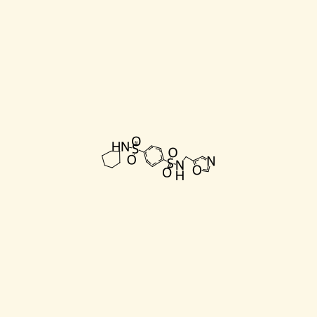 O=S(=O)(NCc1cnco1)c1ccc(S(=O)(=O)NC2CCCCC2)cc1